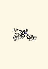 C=CCCCN=C(C#N)/C(=C/c1ccc(OC)c(OC)c1)c1ccc(OC)c(OC)c1OC